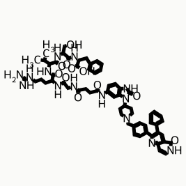 CC(C)C(NC(=O)C(CCCNC(=N)N)NC(=O)CNC(=O)CCC(=O)Nc1ccc2[nH]c(=O)n(C3CCN(Cc4ccc(-c5nc6cc[nH]c(=O)c6cc5-c5ccccc5)cc4)CC3)c2c1)C(=O)NC(CO)C(=O)NC(Cc1ccccc1)C(=O)O